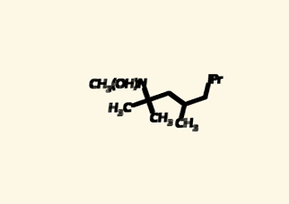 CC(C)CC(C)CC(C)(C)N(C)O